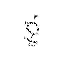 CNS(=O)(=O)c1c[nH]c(=N)cn1